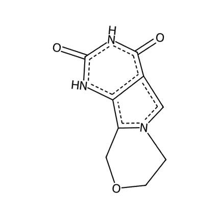 O=c1[nH]c(=O)c2cn3c(c2[nH]1)COCC3